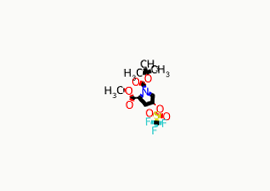 COC(=O)[C@@H]1C[C@@H](OS(=O)(=O)C(F)(F)F)CN1C(=O)OC(C)(C)C